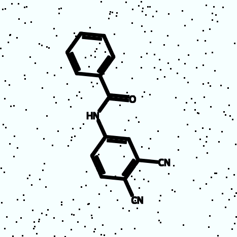 N#Cc1ccc(NC(=O)c2ccccc2)cc1C#N